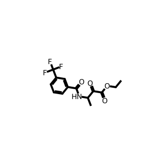 CCOC(=O)C(=O)C(C)NC(=O)c1cccc(C(F)(F)F)c1